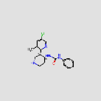 CC1C=C(Cl)C=NC1[C@@H]1CNCC[C@H]1NC(=O)Nc1ccccc1